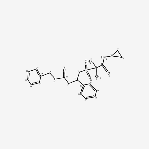 CC(C)(C(=O)NC1CC1)S(=O)(=O)CC(CC(=O)OCc1ccccc1)c1ccccc1